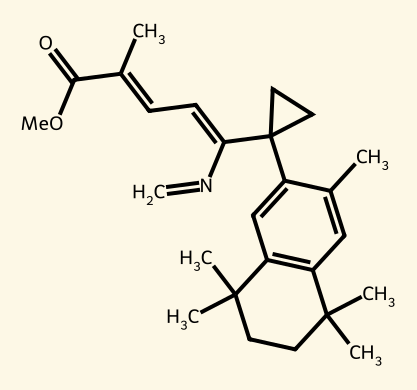 C=N/C(=C\C=C(/C)C(=O)OC)C1(c2cc3c(cc2C)C(C)(C)CCC3(C)C)CC1